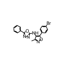 Cc1noc(-c2ccc(Br)cc2)c1Nc1nnc(-c2ccccc2)o1